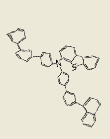 c1ccc(-c2cccc(-c3ccc(N(c4ccc(-c5cccc(-c6cccc7ccccc67)c5)cc4)c4cccc5c4sc4ccccc45)cc3)c2)cc1